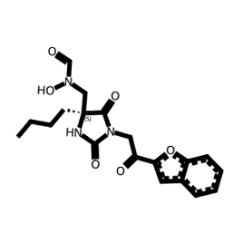 CCCC[C@@]1(CN(O)C=O)NC(=O)N(CC(=O)c2cc3ccccc3o2)C1=O